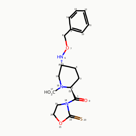 O=C([C@@H]1CC[C@@H](NOCc2ccccc2)CN1C(=O)O)N1CCOC1=S